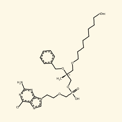 CCCCCCCCCCCCCCCCCCOC[C@](C)(COP(=O)(O)COCCn1cnc2c(Cl)nc(N)nc21)OCc1ccccc1